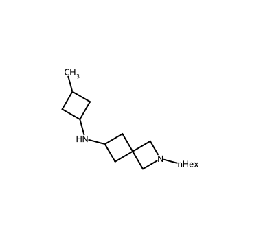 CCCCCCN1CC2(CC(NC3CC(C)C3)C2)C1